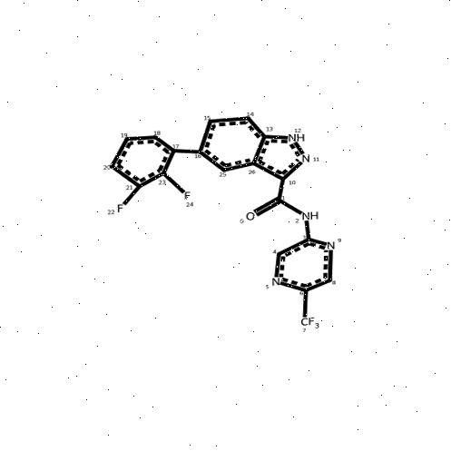 O=C(Nc1cnc(C(F)(F)F)cn1)c1n[nH]c2ccc(-c3cccc(F)c3F)cc12